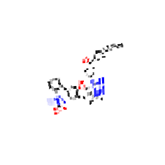 CCCc1c(Cc2ccc(-c3ccccc3-c3noc(=O)[nH]3)cc2)c(=O)n([C@H]2CC[C@H](C(=O)c3ccc(OC)cc3)CC2)c2ncnn12